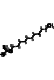 CCCCCCCCCCCOC(=S)S